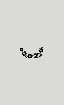 Cc1ccc(N2CC3(CCN(c4ccc(OC5CCN(C6CCC6)CC5)cc4)CC3)OCC2=O)cn1